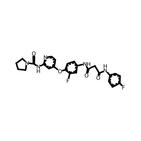 O=C(CC(=O)Nc1ccc(Oc2ccnc(NC(=O)N3CCCC3)c2)c(F)c1)Nc1ccc(F)cc1